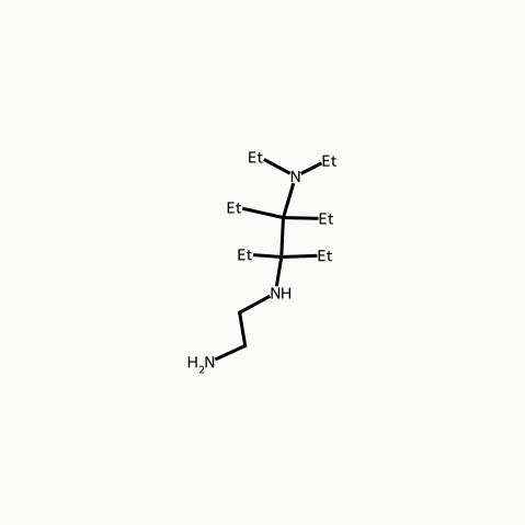 CCN(CC)C(CC)(CC)C(CC)(CC)NCCN